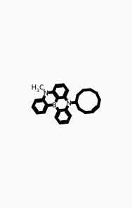 CN1c2ccccc2B2c3ccccc3N(C3CC/C=C\CCCCC3)c3cccc1c32